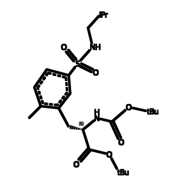 Cc1ccc(S(=O)(=O)NCC(C)C)cc1C[C@H](NC(=O)OC(C)(C)C)C(=O)OC(C)(C)C